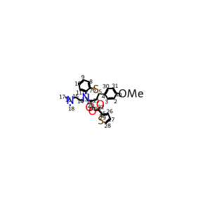 COc1ccc([C@@H]2Sc3ccccc3N(CCN(C)C)C(=O)[C@@H]2OC(=O)c2cccs2)cc1